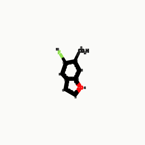 O=C(O)c1cc2occc2cc1F